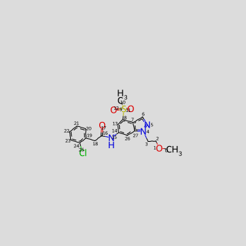 COCCn1ncc2c(S(C)(=O)=O)cc(NC(=O)Cc3ccccc3Cl)cc21